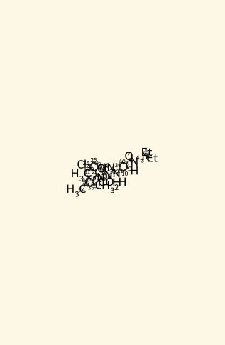 CCN(CC)CCNC(=O)c1ccc(Nc2nccc(N(C(=O)O)C(c3cc(Cl)ccc3Cl)c3c(C)cc(C)cc3C)n2)cc1